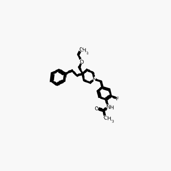 CCOCC1(CCc2ccccc2)CCN(Cc2ccc(NC(C)=O)c(F)c2)CC1